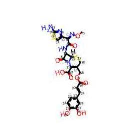 CO/N=C(\C(=O)N[C@@H]1C(=O)N2C(C(=O)O)=C(COC(=O)C=Cc3ccc(O)c(O)c3)CS[C@H]12)c1csc(N)n1